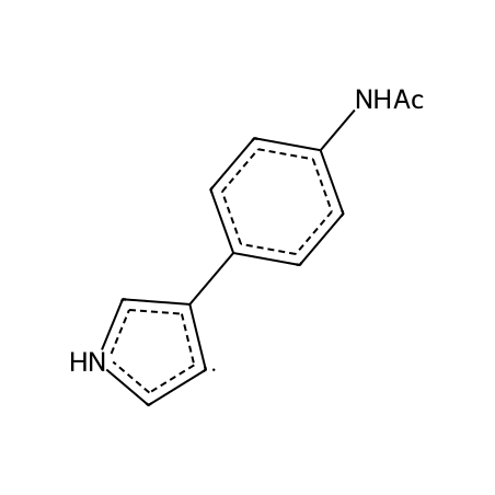 CC(=O)Nc1ccc(-c2[c]c[nH]c2)cc1